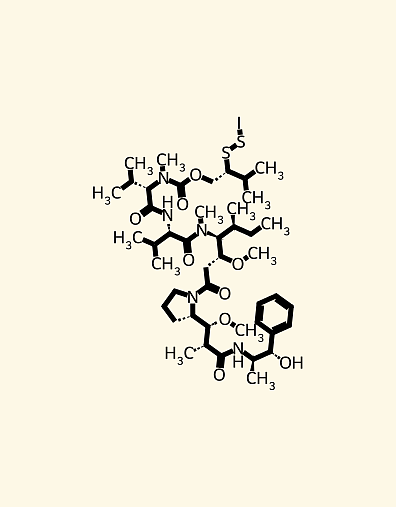 CC[C@H](C)[C@@H]([C@@H](CC(=O)N1CCC[C@H]1[C@H](OC)[C@@H](C)C(=O)N[C@H](C)[C@@H](O)c1ccccc1)OC)N(C)C(=O)[C@@H](NC(=O)[C@H](C(C)C)N(C)C(=O)OC[C@H](SSI)C(C)C)C(C)C